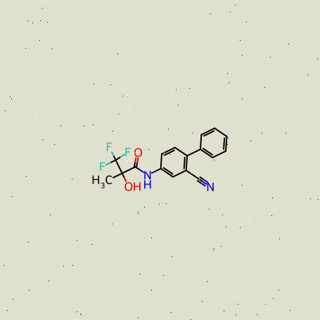 CC(O)(C(=O)Nc1ccc(-c2ccccc2)c(C#N)c1)C(F)(F)F